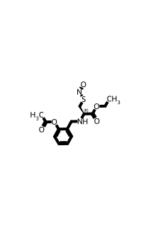 CCOC(=O)[C@H](CSN=O)NCc1ccccc1OC(C)=O